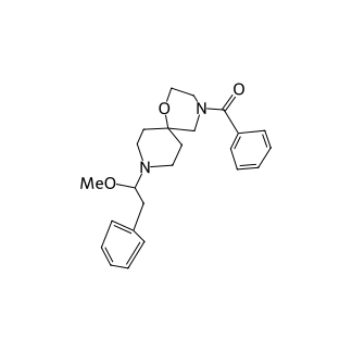 COC(Cc1ccccc1)N1CCC2(CC1)CN(C(=O)c1ccccc1)CCO2